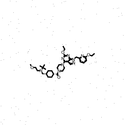 CCOc1cccc(Cn2ncc3c(N4CCN(C(=O)[C@H]5CC[C@H](CN(CCOC)C(C)(C)C)CC5)CC4)nc(OCC)nc32)n1